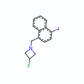 FC1CN(Cc2ccc(I)c3ccccc23)C1